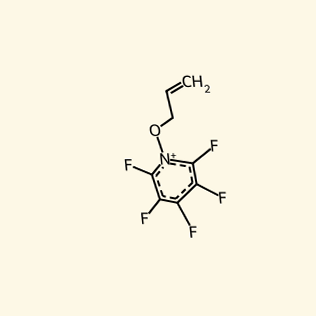 C=CCO[n+]1c(F)c(F)c(F)c(F)c1F